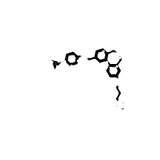 CS(=O)(=O)CCCOc1ccc2c(c1)COCc1ccc(COc3ccc([C@H]4C[C@@H]4C(=O)O)cc3)cc1-2